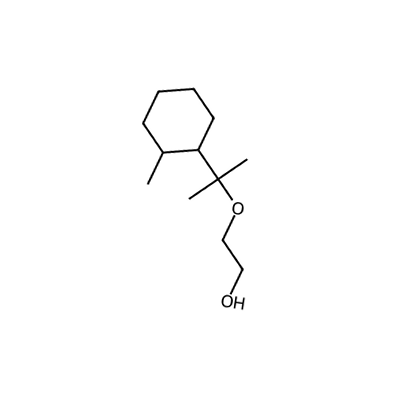 CC1CCCCC1C(C)(C)OCCO